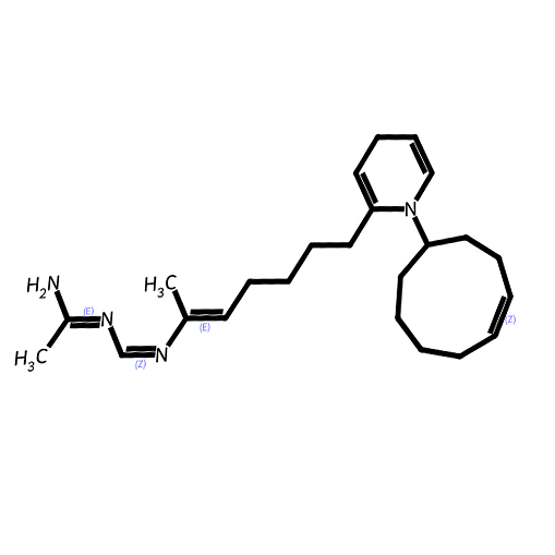 CC(=C\CCCCC1=CCC=CN1C1CC/C=C\CCCC1)/N=C\N=C(/C)N